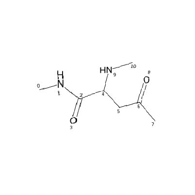 CNC(=O)C(CC(C)=O)NC